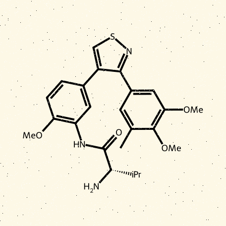 COc1ccc(-c2csnc2-c2cc(C)c(OC)c(OC)c2)cc1NC(=O)[C@@H](N)C(C)C